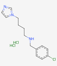 Cl.Cl.Clc1ccc(CNCCCCn2ccnc2)cc1